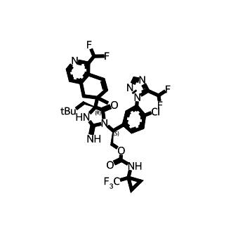 CC(C)(C)C[C@]1(C2(C)C=Cc3c(ccnc3C(F)F)C2)NC(=N)N([C@H](COC(=O)NC2(C(F)(F)F)CC2)c2ccc(Cl)c(-n3ncnc3C(F)F)c2)C1=O